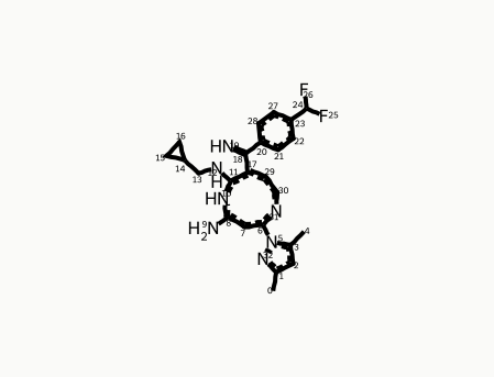 Cc1cc(C)n(-c2cc(N)[nH]c(NCC3CC3)c(C(=N)c3ccc(C(F)F)cc3)ccn2)n1